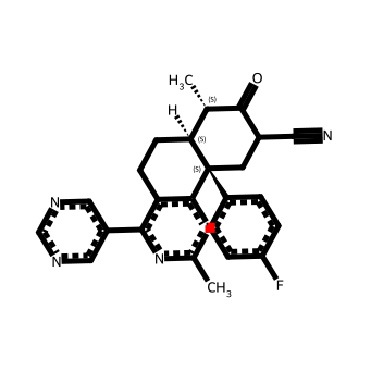 Cc1nc(-c2cncnc2)c2c(n1)[C@@]1(c3ccc(F)cc3)CC(C#N)C(=O)[C@@H](C)[C@@H]1CC2